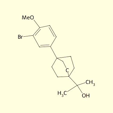 COc1ccc(C23CCC(C(C)(C)O)(CC2)CC3)cc1Br